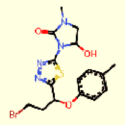 Cc1ccc(OC(CCBr)c2nnc(N3C(=O)N(C)CC3O)s2)cc1